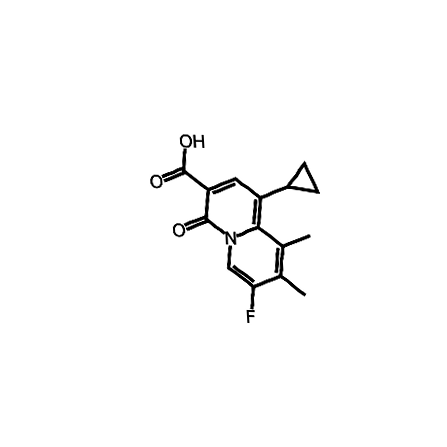 Cc1c(F)cn2c(=O)c(C(=O)O)cc(C3CC3)c2c1C